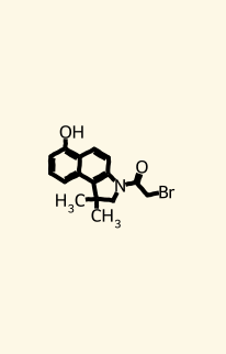 CC1(C)CN(C(=O)CBr)c2ccc3c(O)cccc3c21